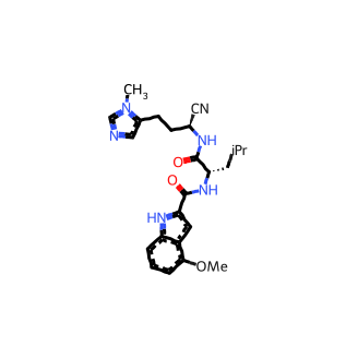 COc1cccc2[nH]c(C(=O)N[C@@H](CC(C)C)C(=O)N[C@H](C#N)CCc3cncn3C)cc12